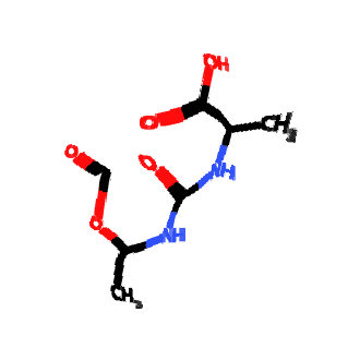 CC(NC(=O)NC(C)C(=O)O)OC=O